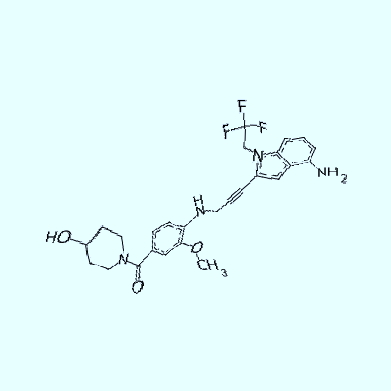 COc1cc(C(=O)N2CCC(O)CC2)ccc1NCC#Cc1cc2c(N)cccc2n1CC(F)(F)F